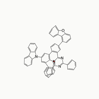 c1ccc(-c2nc(-c3ccccc3)nc(-c3cc(-c4cccc5oc6ccccc6c45)ccc3-c3cc(-n4c5ccccc5c5ccccc54)cc4c3sc3ccccc34)n2)cc1